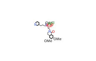 COc1cc2c(cc1OC)C(=O)N(CCCN(C)CCCc1cccnc1)CC2.Cl.Cl.O.O